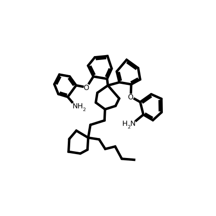 CCCCCC1(CCC2CCC(c3ccccc3Oc3ccccc3N)(c3ccccc3Oc3ccccc3N)CC2)CCCCC1